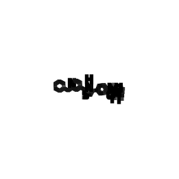 O=S(=O)(Nc1ccc(C2=CSC(c3ccnc(CC4CCCCC4)c3)N2)cc1)C(F)(F)F